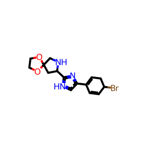 BrC1C=CC(c2c[nH]c(C3CC4(CN3)OCCO4)n2)=CC1